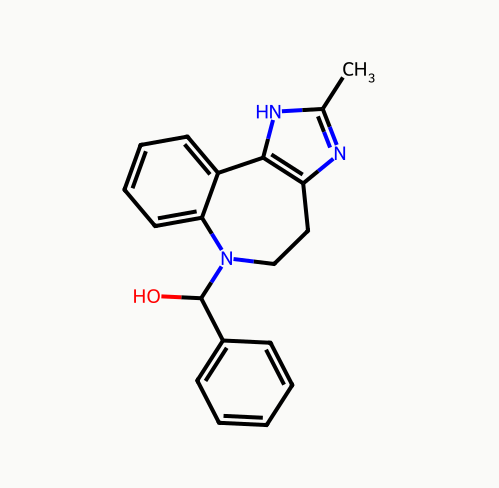 Cc1nc2c([nH]1)-c1ccccc1N(C(O)c1ccccc1)CC2